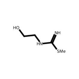 CSC(=N)NCCO